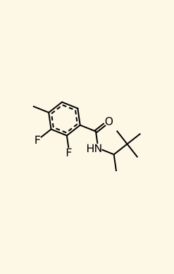 Cc1ccc(C(=O)NC(C)C(C)(C)C)c(F)c1F